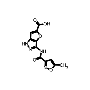 Cc1cc(C(=O)Nc2n[nH]c3cc(C(=O)O)oc23)no1